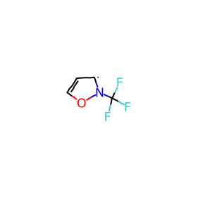 FC(F)(F)N1[CH]C=CO1